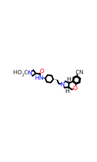 N#Cc1ccc2c(c1)[C@@H]1CN(CC[C@H]3CC[C@H](NC(=O)C4CN(C(=O)O)C4)CC3)C[C@H]1CO2